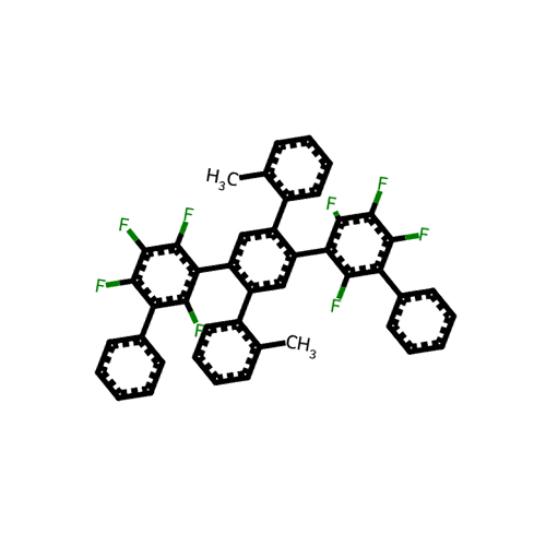 Cc1ccccc1-c1cc(-c2c(F)c(F)c(F)c(-c3ccccc3)c2F)c(-c2ccccc2C)cc1-c1c(F)c(F)c(F)c(-c2ccccc2)c1F